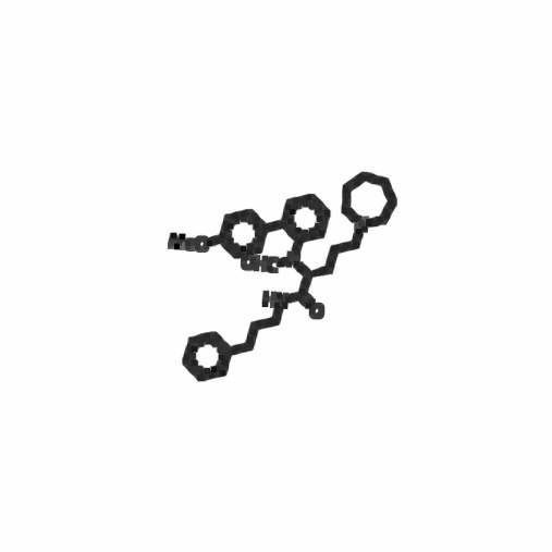 COc1ccc(-c2ccccc2N(C=O)[C@@H](CCCN2CCCCCC2)C(=O)NCCCc2ccccc2)cc1